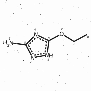 CCOc1nc(N)n[nH]1